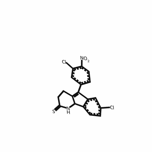 O=[N+]([O-])c1ccc(C2=C3CCC(=S)NC3c3ccc(Cl)cc32)cc1Cl